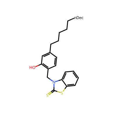 CCCCCCCCCCCCCCCc1ccc(Cn2c(=S)sc3ccccc32)c(O)c1